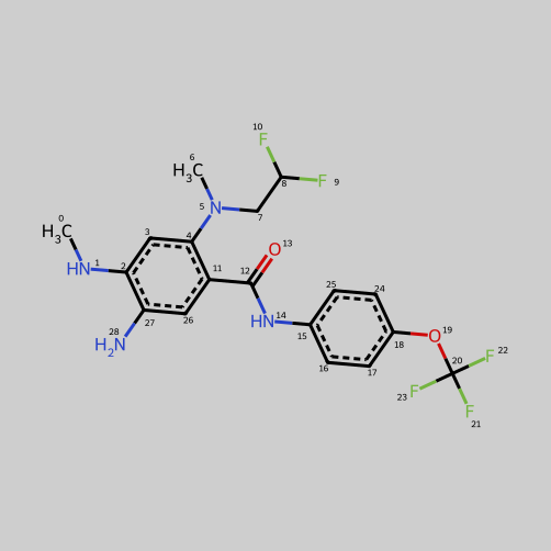 CNc1cc(N(C)CC(F)F)c(C(=O)Nc2ccc(OC(F)(F)F)cc2)cc1N